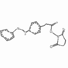 O=C(Cc1ccc(SSc2ccccc2)cc1)ON1C(=O)CCC1=O